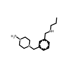 CCCNCc1cccc(CN2CCN(P)CC2)c1